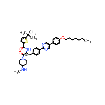 CCCCCCCOc1ccc(-c2cnc(-c3ccc(C[C@H](NC(=O)c4ccc(C(C)(C)C)s4)C(=O)N4CCC(NC)CC4)cc3)nc2)cc1